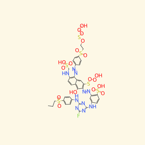 CCCS(=O)(=O)c1ccc(Nc2nc(F)nc(Nc3ccc(S(=O)(=O)O)c(/N=N/c4c(SOOO)cc5c(/N=N/c6ccc(S(=O)(=O)CCOSOOO)cc6)c(NCS(=O)(=O)O)ccc5c4O)c3)n2)cc1